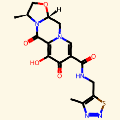 Cc1nnsc1CNC(=O)c1cn2c(c(O)c1=O)C(=O)N1[C@@H](C)CO[C@@H]1C2